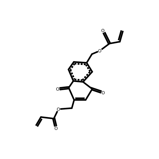 C=CC(=O)OCC1=CC(=O)c2cc(COC(=O)C=C)ccc2C1=O